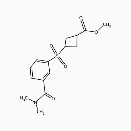 COC(=O)C1CC(S(=O)(=O)c2cccc(C(=O)N(C)C)c2)C1